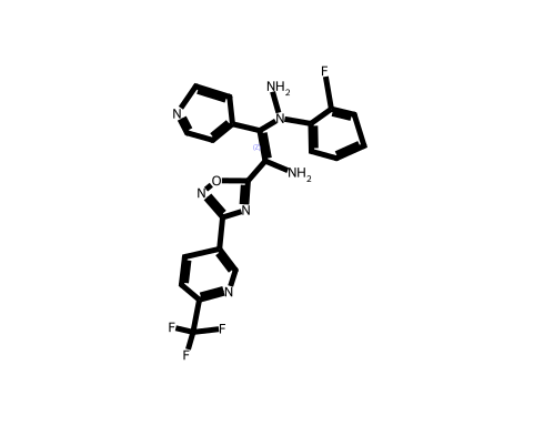 N/C(=C(/c1ccncc1)N(N)c1ccccc1F)c1nc(-c2ccc(C(F)(F)F)nc2)no1